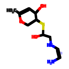 N/C=C\NCC(O)SC1COC(C(=O)O)=CC1O